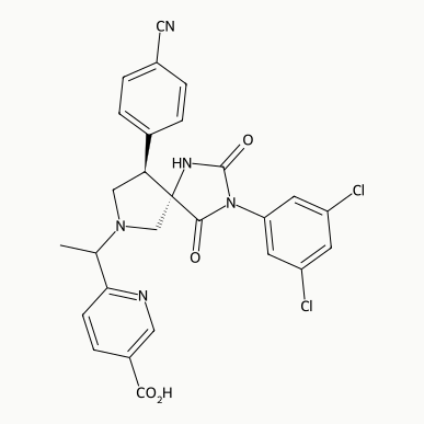 CC(c1ccc(C(=O)O)cn1)N1C[C@@H](c2ccc(C#N)cc2)[C@@]2(C1)NC(=O)N(c1cc(Cl)cc(Cl)c1)C2=O